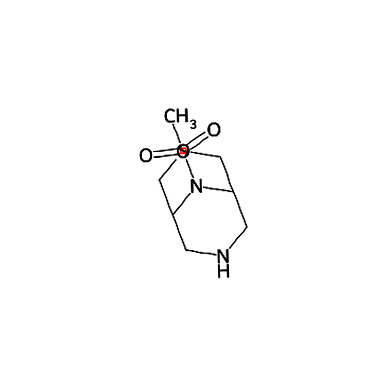 CS(=O)(=O)N1C2CNCC1COC2